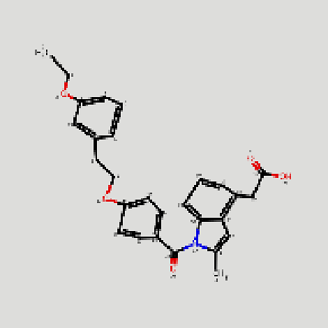 CCOc1cccc(CCOc2ccc(C(=O)n3c(C)cc4c(CC(=O)O)cccc43)cc2)c1